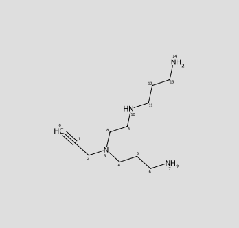 C#CCN(CCCN)CCNCCCN